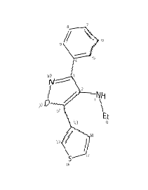 CCNc1c(-c2ccccc2)noc1-c1ccsc1